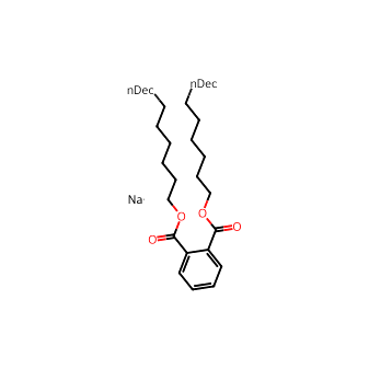 CCCCCCCCCCCCCCCCOC(=O)c1ccccc1C(=O)OCCCCCCCCCCCCCCCC.[Na]